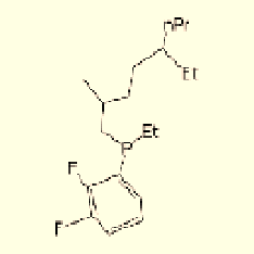 CCCC(CC)CCC(C)CP(CC)c1cccc(F)c1F